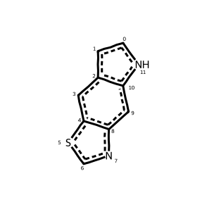 c1cc2cc3scnc3cc2[nH]1